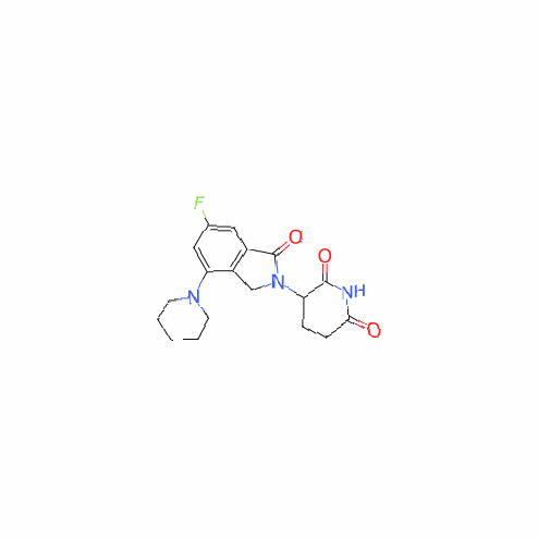 O=C1CCC(N2Cc3c(cc(F)cc3N3CCCCC3)C2=O)C(=O)N1